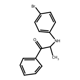 CC(Nc1ccc(Br)cc1)C(=O)c1ccccc1